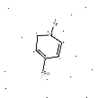 CC(C)(C)C1=CCN(Br)C=C1